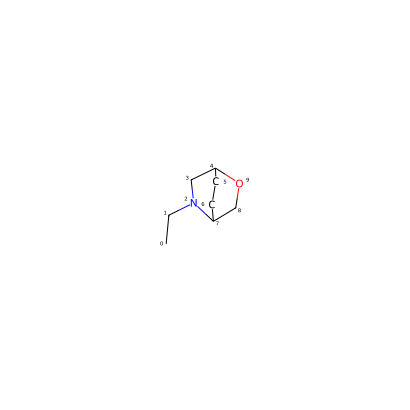 CCN1CC2CCC1CO2